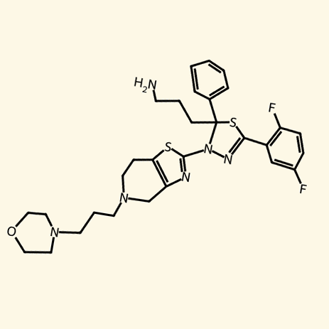 NCCCC1(c2ccccc2)SC(c2cc(F)ccc2F)=NN1c1nc2c(s1)CCN(CCCN1CCOCC1)C2